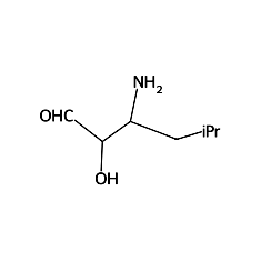 CC(C)CC(N)C(O)C=O